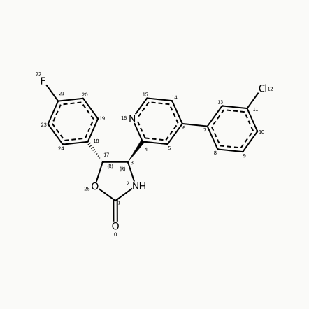 O=C1N[C@H](c2cc(-c3cccc(Cl)c3)ccn2)[C@@H](c2ccc(F)cc2)O1